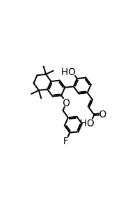 CC1(C)CCC(C)(C)c2cc(-c3cc(C=CC(=O)O)ccc3O)c(OCc3cccc(F)c3)cc21